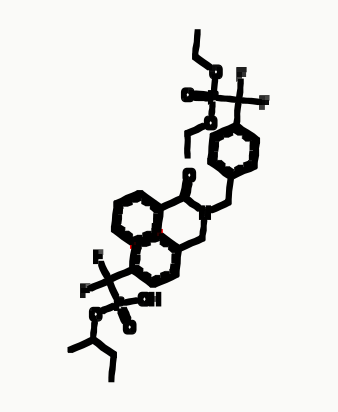 CCOP(=O)(OCC)C(F)(F)c1ccc(CN(Cc2ccc(C(F)(F)P(=O)(O)OC(C)CC)cc2)C(=O)c2ccccc2)cc1